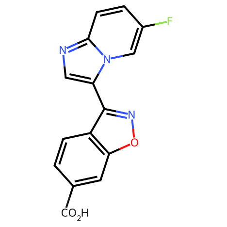 O=C(O)c1ccc2c(-c3cnc4ccc(F)cn34)noc2c1